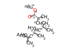 C=C(C)C#N.C=C(C)C(=O)O.C=C(C)C(=O)OCCCC.C=COC(C)=O